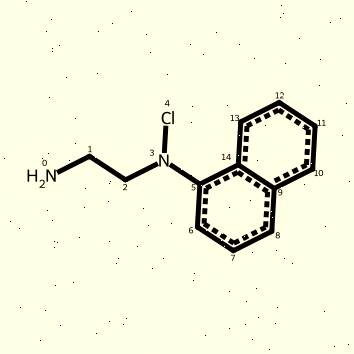 NCCN(Cl)c1cccc2ccccc12